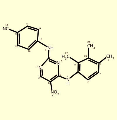 Cc1ccc(Nc2nc(Nc3ccc(C#N)cc3)ncc2[N+](=O)[O-])c(C)c1C